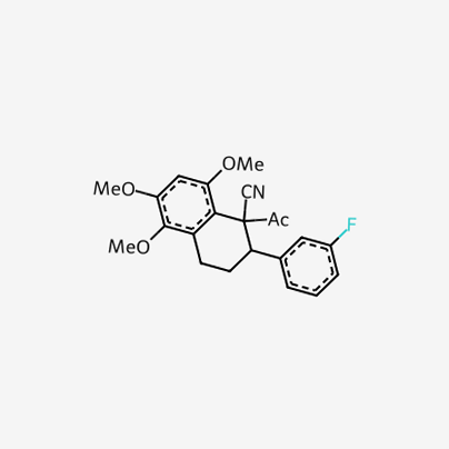 COc1cc(OC)c2c(c1OC)CCC(c1cccc(F)c1)C2(C#N)C(C)=O